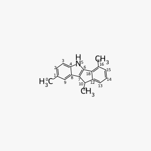 Cc1ccc2[nH]c3c(c2c1)C(C)c1cccc(C)c1-3